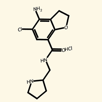 Cl.Nc1c(Cl)cc(C(=O)NCC2CCCN2)c2c1CCO2